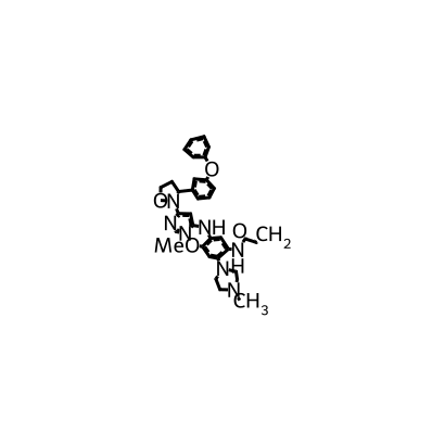 C=CC(=O)Nc1cc(Nc2cc(N3OCCC3c3cccc(Oc4ccccc4)c3)ncn2)c(OC)cc1N1CCN(C)CC1